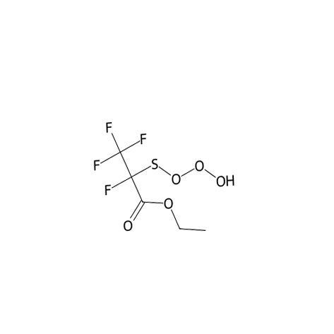 CCOC(=O)C(F)(SOOO)C(F)(F)F